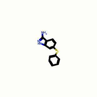 Nc1n[nH]c2cc(Sc3ccccc3)ccc12